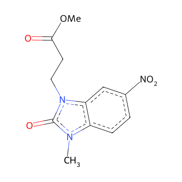 COC(=O)CCn1c(=O)n(C)c2ccc([N+](=O)[O-])cc21